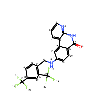 O=c1[nH]c2ncccc2c2cc(NCc3ccc(C(F)(F)F)cc3C(F)(F)F)ccc12